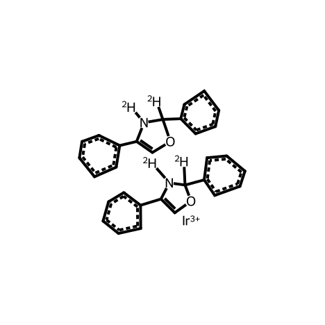 [2H]N1C(c2ccccc2)=COC1([2H])c1ccccc1.[2H]N1C(c2ccccc2)=COC1([2H])c1ccccc1.[Ir+3]